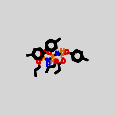 CCCOP(N[PH](N=[PH](OCCC)Oc1ccc(C)cc1)(OCCC)Oc1ccc(C)cc1)Oc1ccc(C)cc1